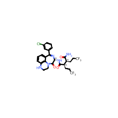 NC(=O)[C@@H](CCC(F)(F)F)[C@@H](CCC(F)(F)F)C(=O)N[C@H]1N=C(c2cccc(Cl)c2)c2cccc3c2N(CCN3)C1=O